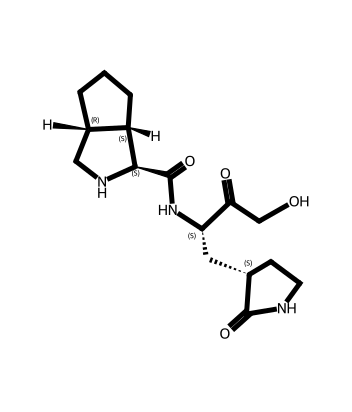 O=C1NCC[C@H]1C[C@H](NC(=O)[C@H]1NC[C@@H]2CCC[C@@H]21)C(=O)CO